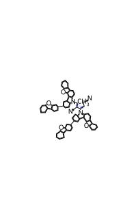 C/C(=C(C#N)\C(=C/CC#N)n1c2ccc(-c3ccc4c(c3)oc3ccccc34)cc2c2c3oc4ccccc4c3ccc21)n1c2ccc(-c3ccc4c(c3)oc3ccccc34)cc2c2c3oc4ccccc4c3ccc21